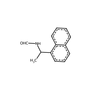 CC(NC=O)c1cccc2ccccc12